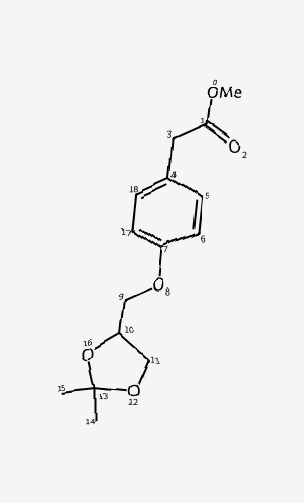 COC(=O)Cc1ccc(OCC2COC(C)(C)O2)cc1